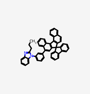 CCCc1nc2ccccc2n1-c1cccc(-c2cc3c(c4ccccc24)-c2c(ccc4ccccc24)C32c3ccccc3-c3ccccc32)c1